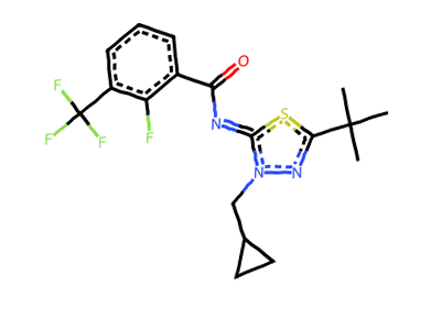 CC(C)(C)c1nn(CC2CC2)/c(=N/C(=O)c2cccc(C(F)(F)F)c2F)s1